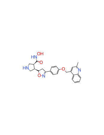 Cc1cc(COc2ccc(C3=NOC([C@H]4CNC[C@H]4C(=O)NO)C3)cc2)c2ccccc2n1